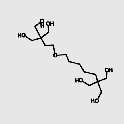 OCC(CO)(CO)CCCCCOCCC(CO)(CO)CO